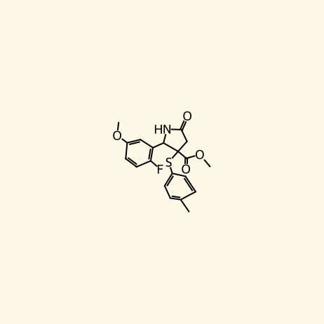 COC(=O)C1(Sc2ccc(C)cc2)CC(=O)NC1c1cc(OC)ccc1F